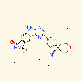 N#CC1(c2ccc(-c3cnc(N)c(-c4ccc5c(c4)C4(CC4)NC5=O)n3)cc2)CCOCC1